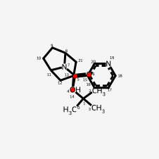 CC(C)(C)OC(=O)N1C2CCC1CC(O)(c1cccnc1)C2